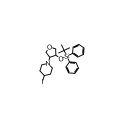 CC(C)(C)[Si](OC1COCC1N1CCC(I)CC1)(c1ccccc1)c1ccccc1